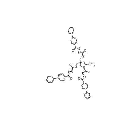 CCCC(COC(=O)OOC(=O)c1ccc(-c2ccccc2)cc1)(COC(=O)OOC(=O)c1ccc(-c2ccccc2)cc1)COC(=O)OOC(=O)c1ccc(-c2ccccc2)cc1